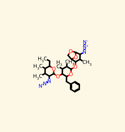 CCC1OC(OC2C(Cc3ccccc3)OC(OC3C4COC(O4)C(N=[N+]=[N-])C3C)C(C)C2C)C(N=[N+]=[N-])C(C)C1C